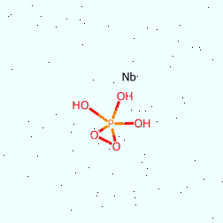 OP1(O)(O)OO1.[Nb]